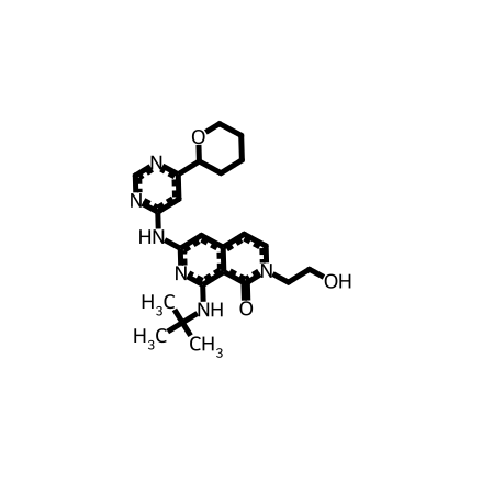 CC(C)(C)Nc1nc(Nc2cc(C3CCCCO3)ncn2)cc2ccn(CCO)c(=O)c12